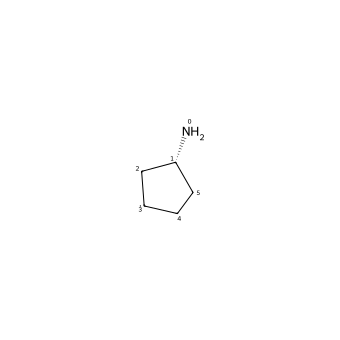 N[C@H]1C[CH]CC1